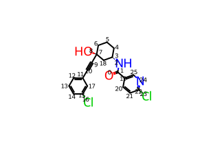 O=C(N[C@H]1CCC[C@@](O)(C#Cc2cccc(Cl)c2)C1)c1ccc(Cl)nc1